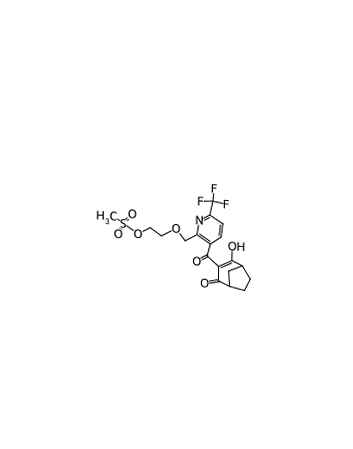 CS(=O)(=O)OCCOCc1nc(C(F)(F)F)ccc1C(=O)C1=C(O)C2CCC(C2)C1=O